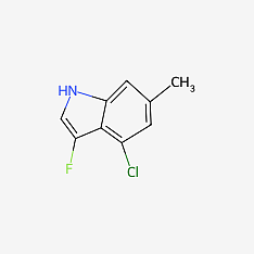 Cc1cc(Cl)c2c(F)c[nH]c2c1